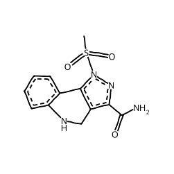 CS(=O)(=O)n1nc(C(N)=O)c2c1-c1ccccc1NC2